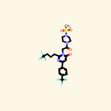 CS(=O)(=O)N1CCN(C(=O)Cn2c(CCCC(F)(F)F)nc(-c3ccc(C(F)(F)F)cc3)cc2=O)CC1